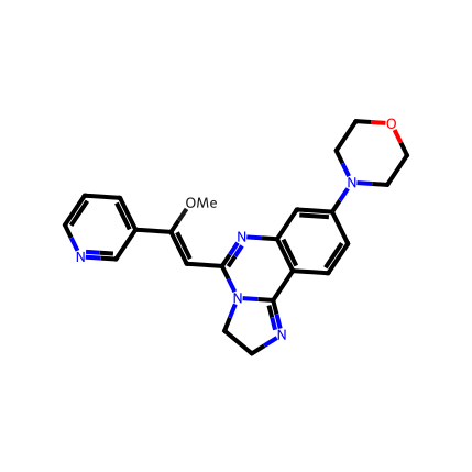 CO/C(=C\C1=Nc2cc(N3CCOCC3)ccc2C2=NCCN12)c1cccnc1